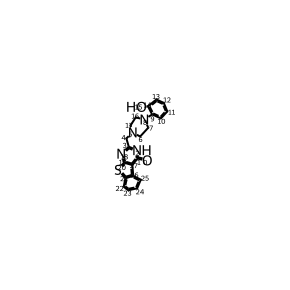 O=c1[nH]c(CN2CCN(c3ccccc3O)CC2)nc2sc3ccccc3c12